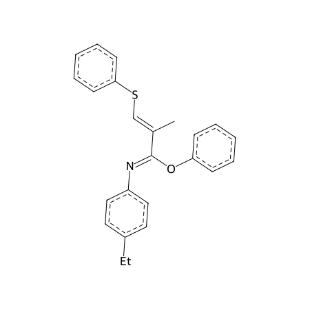 CCc1ccc(N=C(Oc2ccccc2)C(C)=CSc2ccccc2)cc1